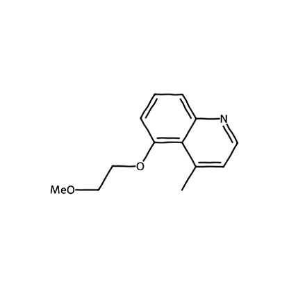 COCCOc1cccc2nccc(C)c12